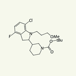 COCCCN1c2c(Cl)ccc(F)c2CC1C1CCCN(C(=O)OC(C)(C)C)C1